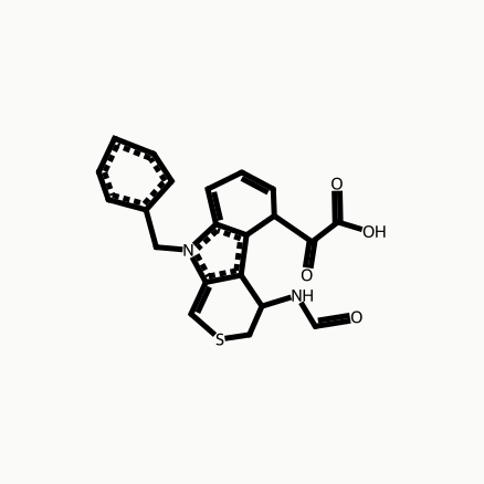 O=CNC1CSC=c2c1c1c(n2Cc2ccccc2)=CC=CC1C(=O)C(=O)O